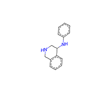 c1ccc(NC2CNCc3ccccc32)cc1